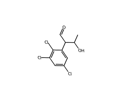 CC(O)C(C=O)c1cc(Cl)cc(Cl)c1Cl